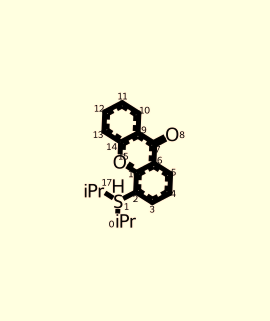 CC(C)[SH](c1cccc2c(=O)c3ccccc3oc12)C(C)C